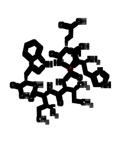 CC[C@H](C)[C@H](NC(=O)[C@H](CC(=O)O)NC(=O)[C@H](CCC(=O)O)NC(=O)[C@H](N)Cc1c[nH]cn1)C(=O)N[C@H](C(=O)N[C@@H](Cc1c[nH]c2ccccc12)C(=O)O)[C@@H](C)CC